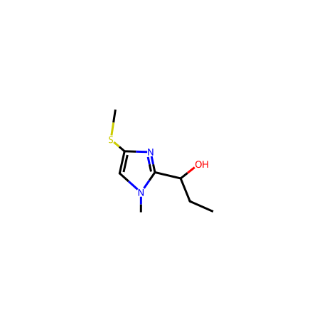 CCC(O)c1nc(SC)cn1C